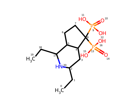 CCC1CC2C(CCC2(P(=O)(O)O)P(=O)(O)O)C(CC)N1